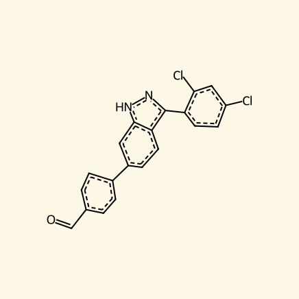 O=Cc1ccc(-c2ccc3c(-c4ccc(Cl)cc4Cl)n[nH]c3c2)cc1